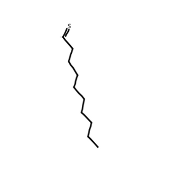 CCCCCCCCC[C]=S